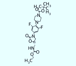 CCOC(=O)NC[C@H]1CN(c2cc(F)c(N3CCN(C(=O)OC(C)(C)C)CC3)c(F)c2)C(=O)O1